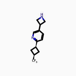 FC(F)(F)[C@H]1C[C@@H](c2ccc(C3CNC3)cn2)C1